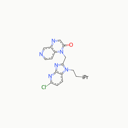 CC(C)CCn1c(Cn2c(=O)cnc3cnccc32)nc2nc(Cl)ccc21